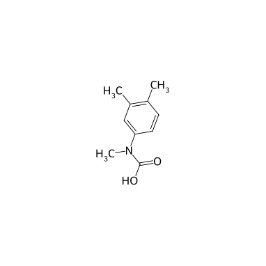 Cc1ccc(N(C)C(=O)O)cc1C